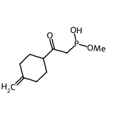 C=C1CCC(C(=O)CP(O)OC)CC1